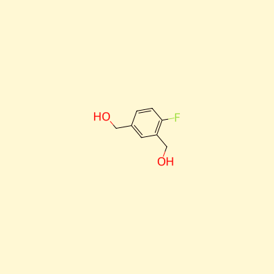 OCc1ccc(F)c(CO)c1